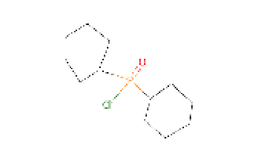 O=P(Cl)(C1CCCCC1)C1CCCCC1